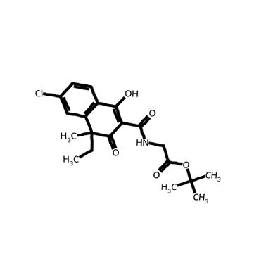 CCC1(C)C(=O)C(C(=O)NCC(=O)OC(C)(C)C)=C(O)c2ccc(Cl)cc21